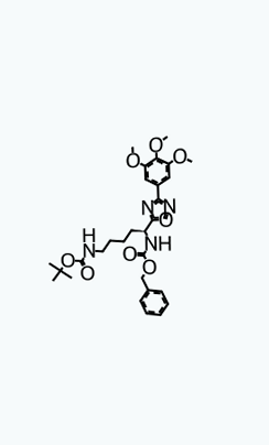 COc1cc(-c2noc([C@H](CCCCNC(=O)OC(C)(C)C)NC(=O)OCc3ccccc3)n2)cc(OC)c1OC